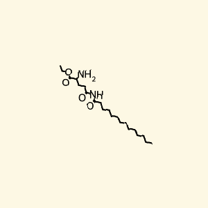 CCCCCCCCCCCCCC(=O)NC(=O)CCC(N)C(=O)OCC